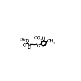 Cc1ccc(OCCCNC(=O)OC(C)(C)C)cc1C(=O)O